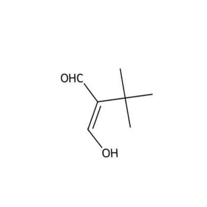 CC(C)(C)/C(C=O)=C\O